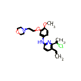 C=Cc1ccc(Nc2ccc(OC)c(OCCN3CCOCC3)c2)nc1C(=C)Cl